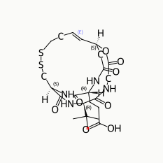 CC(C)(C)[C@H]1NC(=O)[C@H]2CSSCC/C=C/[C@H](CC(=O)N[C@H](CCC(=O)O)C(=O)N2)OC(=O)CNC1=O